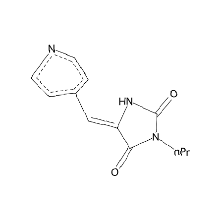 CCCN1C(=O)N/C(=C\c2ccncc2)C1=O